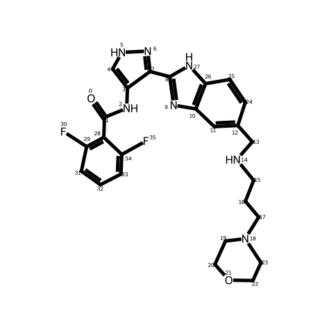 O=C(Nc1c[nH]nc1-c1nc2cc(CNCCCN3CCOCC3)ccc2[nH]1)c1c(F)cccc1F